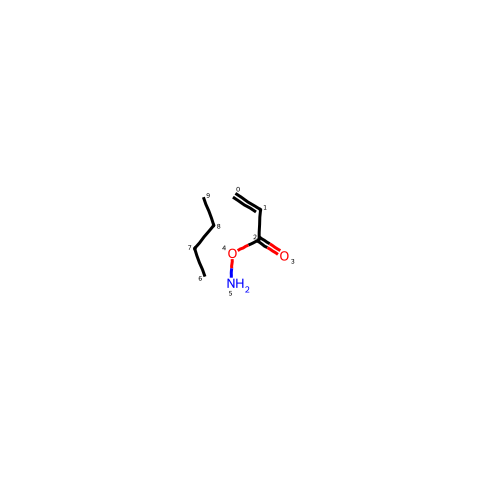 C=CC(=O)ON.CCCC